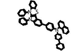 C1=CC2Sc3c(n(-c4ccccc4)c4ccc(-c5ccc(N(c6ccc(-c7ccccc7)cc6)c6cccc7ccccc67)cc5)cc34)N(c3ccccc3)C2C=C1